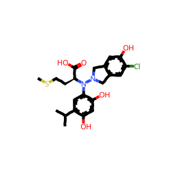 CSCC[C@@H](C(=O)O)N(c1cc(C(C)C)c(O)cc1O)N1Cc2cc(O)c(Cl)cc2C1